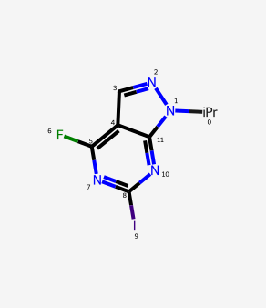 CC(C)n1ncc2c(F)nc(I)nc21